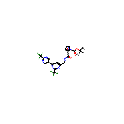 CC(C)(C)OC(=O)N1C2CC(C2)C1C(=O)NCc1cc(-c2cnc(C(F)(F)F)nc2)nc(C(F)(F)F)n1